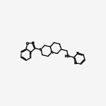 c1cnc(NCC2CCC3CN(c4noc5ccccc45)CCN3C2)nc1